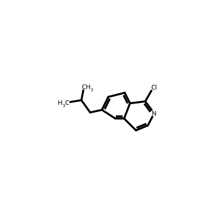 CC(C)Cc1ccc2c(Cl)nccc2c1